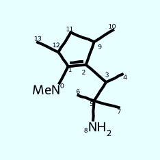 CNC1=C(C(C)C(C)(C)N)C(C)CC1C